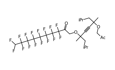 CC(=O)COC(C)(C#CC(C)(CC(C)C)OCC(=O)C(F)(F)C(F)(F)C(F)(F)C(F)(F)C(F)(F)C(F)(F)C(F)(F)C(F)F)CC(C)C